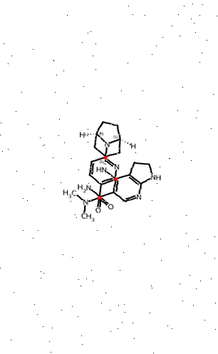 CN(C)C(=O)c1ccc(N2[C@@H]3CC[C@H]2C[C@H](Nc2c(C(N)=O)cnc4c2CCN4)C3)nc1